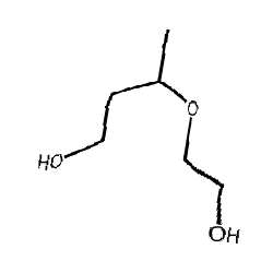 CC(CCO)OCCO